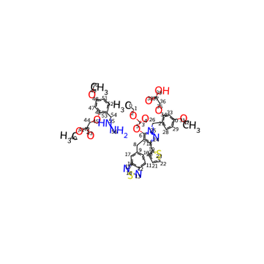 CCOC(=O)Oc1c(Cc2ccc3nsnc3c2)c(-c2cccs2)nn1Cc1ccc(OC)cc1OCC(=O)O.COC(=O)COc1cc(OC)ccc1CNN